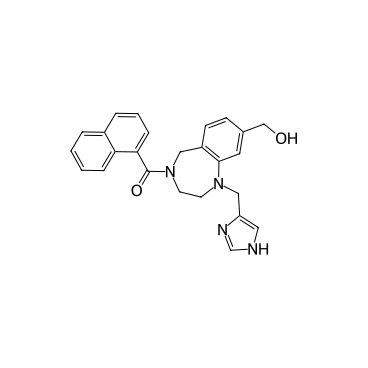 O=C(c1cccc2ccccc12)N1CCN(Cc2c[nH]cn2)c2cc(CO)ccc2C1